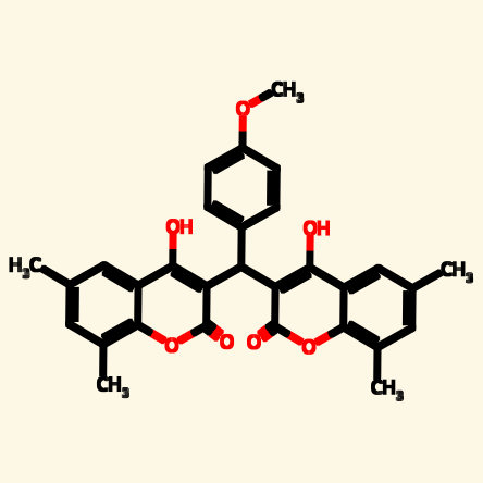 COc1ccc(C(c2c(O)c3cc(C)cc(C)c3oc2=O)c2c(O)c3cc(C)cc(C)c3oc2=O)cc1